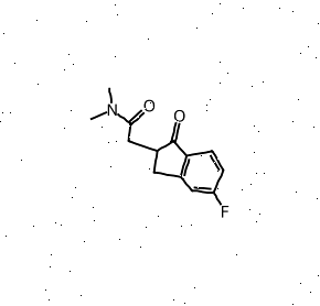 CN(C)C(=O)CC1Cc2cc(F)ccc2C1=O